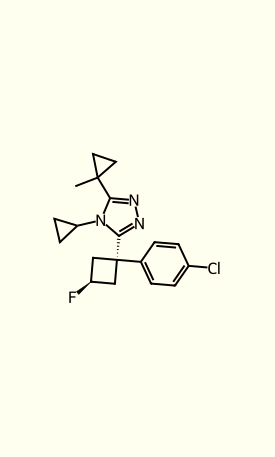 CC1(c2nnc([C@]3(c4ccc(Cl)cc4)C[C@@H](F)C3)n2C2CC2)CC1